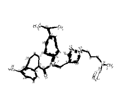 CC(C)c1ccc(N(Cc2cnn(CCCN(C)C)c2)C(=O)C2CCCc3c(O)cccc32)cc1